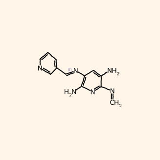 C=Nc1nc(N)c(/N=C/c2cccnc2)cc1N